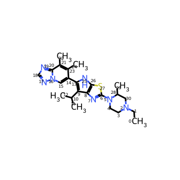 CCN1CCN(c2nc3c(C(C)C)c(-c4cn5ncnc5c(C)c4C)[nH]c3s2)C(C)C1